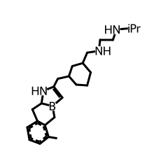 Cc1cccc2c1CB1C=C(CC3CCCC(CNCCNC(C)C)C3)NC1C2